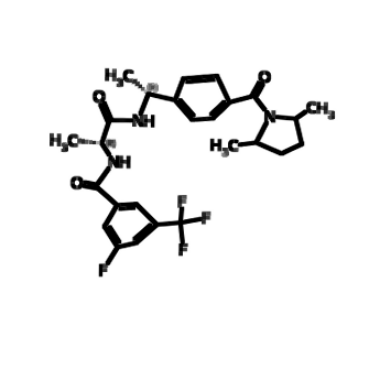 CC1CCC(C)N1C(=O)c1ccc([C@@H](C)NC(=O)[C@@H](C)NC(=O)c2cc(F)cc(C(F)(F)F)c2)cc1